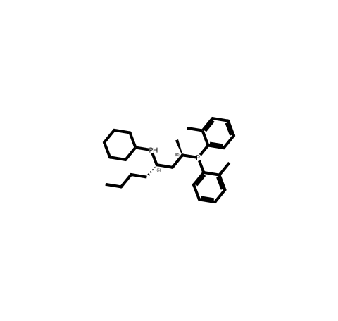 CCCC[C@@H](C[C@@H](C)P(c1ccccc1C)c1ccccc1C)PC1CCCCC1